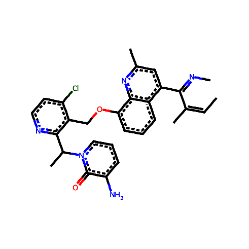 C/C=C(C)\C(=N/C)c1cc(C)nc2c(OCc3c(Cl)ccnc3C(C)n3cccc(N)c3=O)cccc12